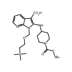 CC(C)(C)OC(=O)N1CCC(Nc2c(C(=O)O)c3cccnc3n2COCC[Si](C)(C)C)CC1